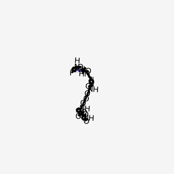 Cc1[nH]c(/C=C2\C(=O)Nc3ccc(F)cc32)c(C)c1C(=O)NCCCN1CCN(CC(=O)NCCOCCOCCOCCNc2cccc3c2C(=O)N(C2CCC(=O)NC2=O)C3=O)CC1